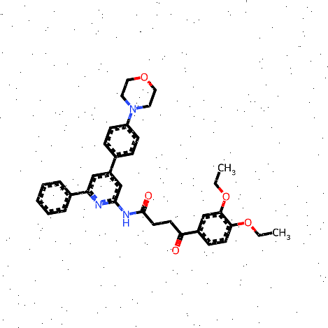 CCOc1ccc(C(=O)CCC(=O)Nc2cc(-c3ccc(N4CCOCC4)cc3)cc(-c3ccccc3)n2)cc1OCC